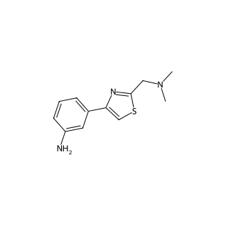 CN(C)Cc1nc(-c2cccc(N)c2)cs1